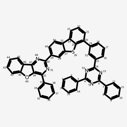 c1ccc(-c2nc(-c3ccccc3)nc(-c3cccc(-c4cccc5c4sc4cc(-c6nc(-c7ccccc7)c7oc8ccccc8c7n6)ccc45)c3)n2)cc1